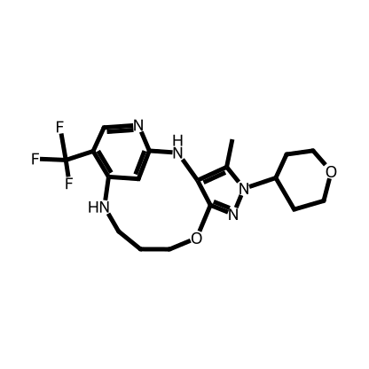 Cc1c2c(nn1C1CCOCC1)OCCCNc1cc(ncc1C(F)(F)F)N2